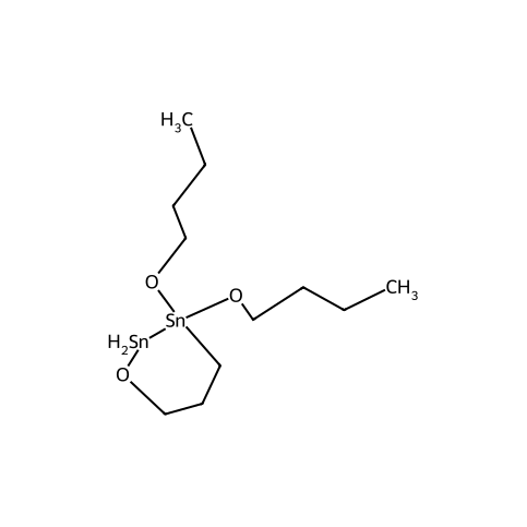 CCCC[O][Sn]1([O]CCCC)[CH2]CC[O][SnH2]1